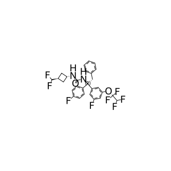 O=C(N[C@](Cc1ccccc1)(c1ccc(F)cc1)c1cc(F)cc(OC(F)(F)C(F)F)c1)N[C@H]1C[C@H](C(F)F)C1